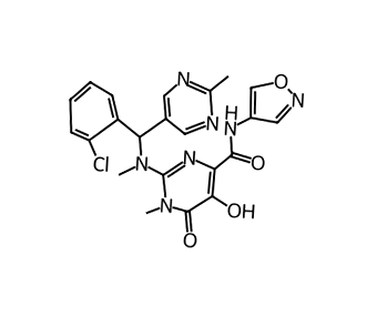 Cc1ncc(C(c2ccccc2Cl)N(C)c2nc(C(=O)Nc3cnoc3)c(O)c(=O)n2C)cn1